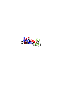 CC(C)(C)c1ccccc1NC(=O)C(=O)N1CC[C@@H](C(=O)N[C@@H](CC(=O)O)C(=O)COc2c(F)c(F)cc(F)c2F)C2CCCCC21